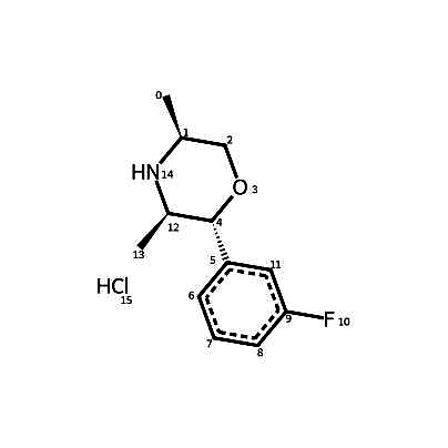 C[C@H]1CO[C@H](c2cccc(F)c2)[C@@H](C)N1.Cl